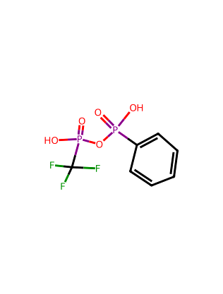 O=P(O)(OP(=O)(O)C(F)(F)F)c1ccccc1